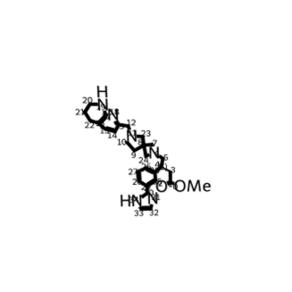 COC(=O)C[C@H](CN1CC2(CCN(Cc3ccc4c(n3)NCCC4)C2)C1)c1cccc(-c2ncc[nH]2)c1